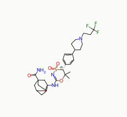 CC1(C)OC(NC23CC4CC2CC(C(N)=O)(C4)C3)=NS(=O)(=O)[C@@H]1c1ccc(C2CCN(CCC(F)(F)F)CC2)cc1